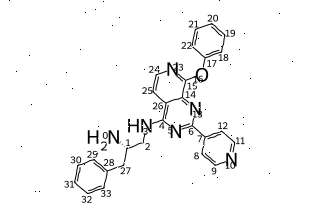 N[C@H](CNc1nc(-c2ccncc2)nc2c(Oc3ccccc3)nccc12)Cc1ccccc1